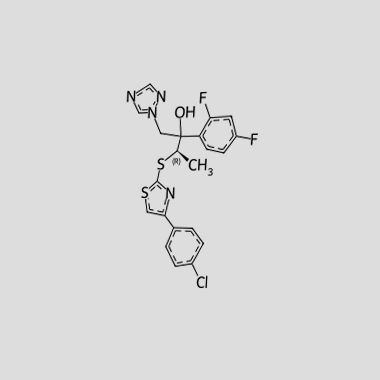 C[C@@H](Sc1nc(-c2ccc(Cl)cc2)cs1)C(O)(Cn1cncn1)c1ccc(F)cc1F